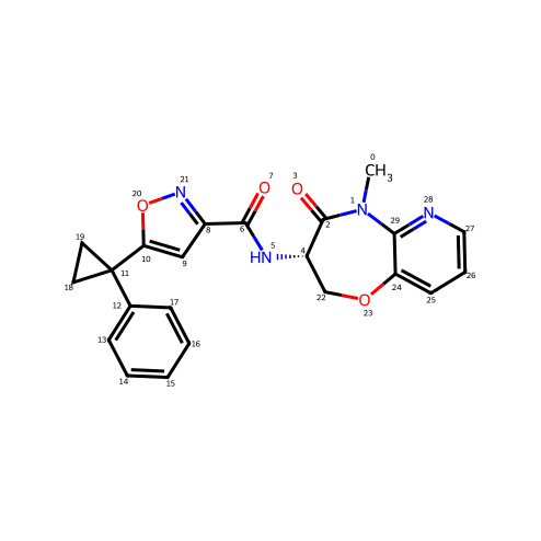 CN1C(=O)[C@@H](NC(=O)c2cc(C3(c4ccccc4)CC3)on2)COc2cccnc21